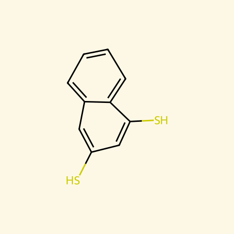 Sc1cc(S)c2ccccc2c1